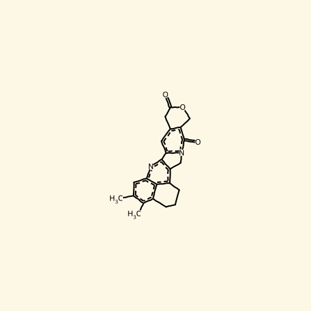 Cc1cc2nc3c(c4c2c(c1C)CCC4)Cn1c-3cc2c(c1=O)COC(=O)C2